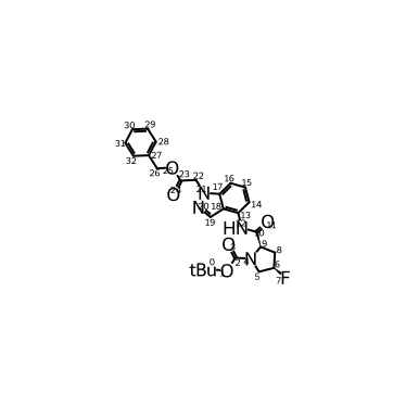 CC(C)(C)OC(=O)N1C[C@H](F)C[C@@H]1C(=O)Nc1cccc2c1cnn2CC(=O)OCc1ccccc1